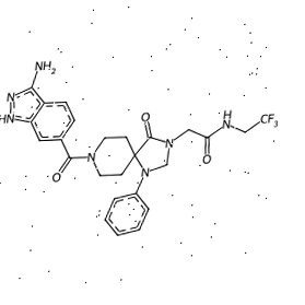 Nc1n[nH]c2cc(C(=O)N3CCC4(CC3)C(=O)N(CC(=O)NCC(F)(F)F)CN4c3ccccc3)ccc12